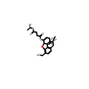 CC(=O)[C@H](C)OC(=O)CCC(=O)OC1=CC[C@@]2(O)[C@H]3Cc4ccc(CO)c5c4[C@@]2(CCN3C)[C@H]1O5